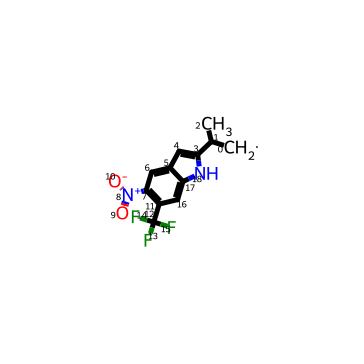 [CH2]C(C)c1cc2cc([N+](=O)[O-])c(C(F)(F)F)cc2[nH]1